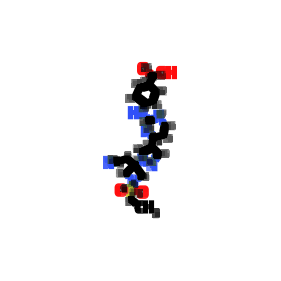 CCS(=O)(=O)N1CC(CC#N)(n2cc(-c3ccnc(Nc4ccc(C(=O)O)cc4)n3)cn2)C1